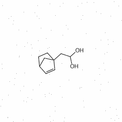 OC(O)CC12C=CC(CC1)C2